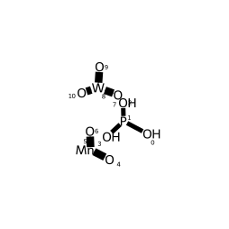 OP(O)O.[O]=[Mn]=[O].[O]=[W](=[O])=[O]